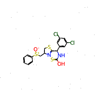 [O-][S+](CC1CSC(C(NC(O)=S)c2cc(Cl)cc(Cl)c2)=N1)c1ccccc1